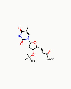 COC(=O)C=C[C@H]1O[C@@H](n2cc(C)c(=O)[nH]c2=O)C[C@@H]1O[Si](C)(C)C(C)(C)C